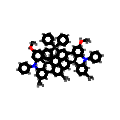 COc1ccc2c(c1)N(c1ccccc1)c1cc(C)cc3c1B2c1cc2c([Si](c4ccccc4)(c4ccccc4)c4ccccc4)cc4c5c(cc6c(C)cc-3c1c6c25)B1c2ccc(C)cc2N(c2ccccc2)c2cc(OC)cc-4c21